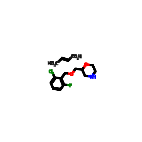 Fc1cccc(Cl)c1COCC1CNCCO1.O=C(O)C=CC(=O)O